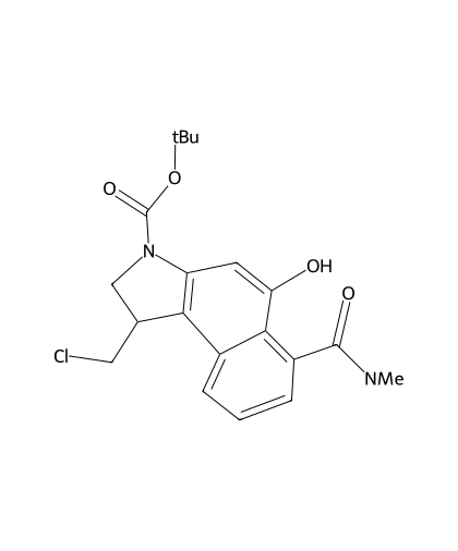 CNC(=O)c1cccc2c3c(cc(O)c12)N(C(=O)OC(C)(C)C)CC3CCl